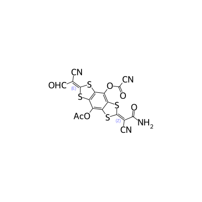 CC(=O)Oc1c2c(c(OC(=O)C#N)c3c1S/C(=C(/C#N)C=O)S3)S/C(=C(/C#N)C(N)=O)S2